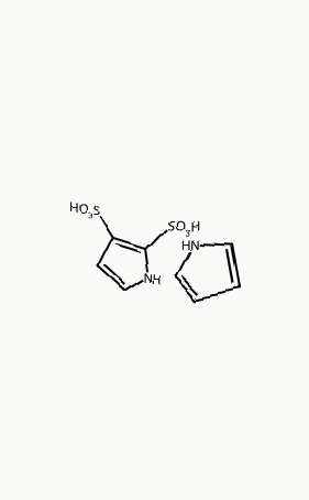 O=S(=O)(O)c1cc[nH]c1S(=O)(=O)O.c1cc[nH]c1